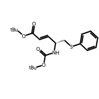 CC(C)(C)OC(=O)C=C[C@H](CSc1ccccc1)NC(=O)OC(C)(C)C